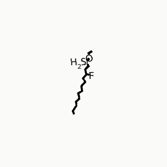 CCCCCCCCCCC(F)CC[SiH2]OCC